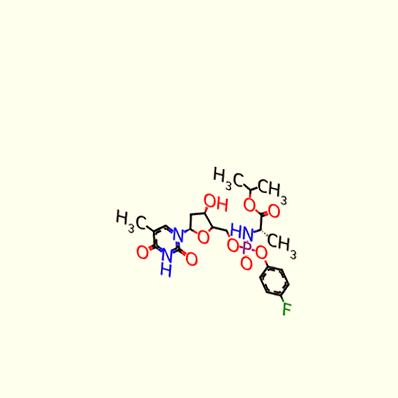 Cc1cn([C@H]2C[C@@H](O)C(COP(=O)(N[C@@H](C)C(=O)OC(C)C)Oc3ccc(F)cc3)O2)c(=O)[nH]c1=O